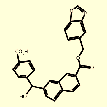 O=C(O)c1ccc(C(O)c2ccc3ccc(C(=O)OCc4ccc5ocnc5c4)cc3c2)cc1